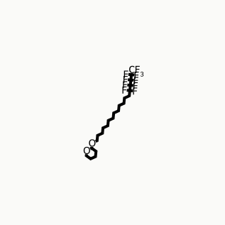 FC(F)(F)C(F)(F)C(F)(F)C(F)(F)C(F)(F)CCCCCCCCCCCCCOC1CCCCO1